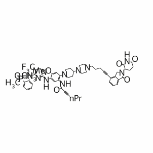 CCCC#CC(=O)Nc1cc(Nc2ncc(C(F)(F)F)c(Nc3ccccc3P(C)(C)=O)n2)c(OC)cc1N1CCC(N2CCN(CCCC#Cc3cccc4c3CN(C3CCC(=O)NC3=O)C4=O)CC2)CC1